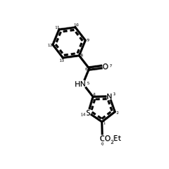 CCOC(=O)c1cnc(NC(=O)c2ccccc2)s1